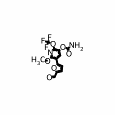 COc1nc(OC(F)(F)F)c(OC(N)=O)cc1-c1ccc(C=O)o1